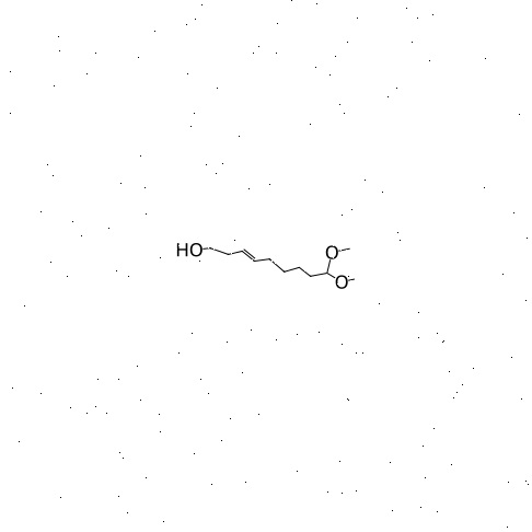 COC(CCCC/C=C/CCO)OC